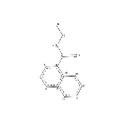 CC[N]C(=O)c1cccc2ccccc12